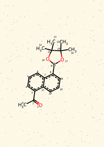 CC(=O)c1cccc2c(B3OC(C)(C)C(C)(C)O3)cccc12